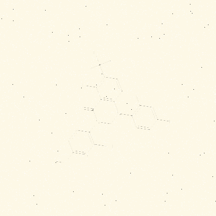 COc1ccc(N2CN(c3ccc(F)cc3C)c3ccc(C(F)(F)F)c(F)c3C2=O)c(C)n1